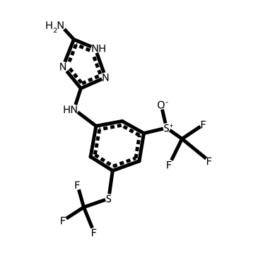 Nc1nc(Nc2cc(SC(F)(F)F)cc([S+]([O-])C(F)(F)F)c2)n[nH]1